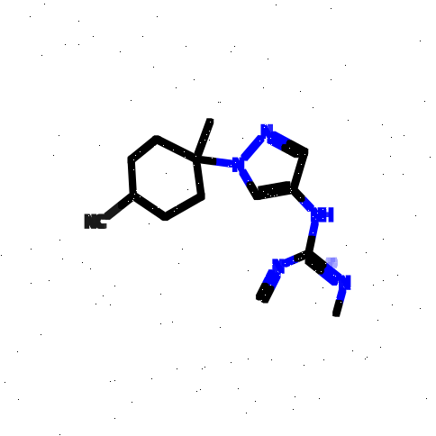 C=N/C(=N\C)Nc1cnn(C2(C)CCC(C#N)CC2)c1